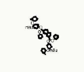 CCCCC1(Oc2ccccc2C)C=CC(OC(Oc2ccccc2)c2ccc3ccc(C(OC4=CCC(CCCC)(Oc5ccccc5C)C=C4)Oc4ccccc4)cc3c2)=CC1